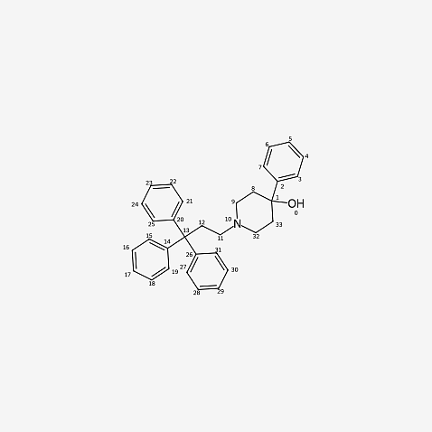 OC1(c2ccccc2)CCN(CCC(c2ccccc2)(c2ccccc2)c2ccccc2)CC1